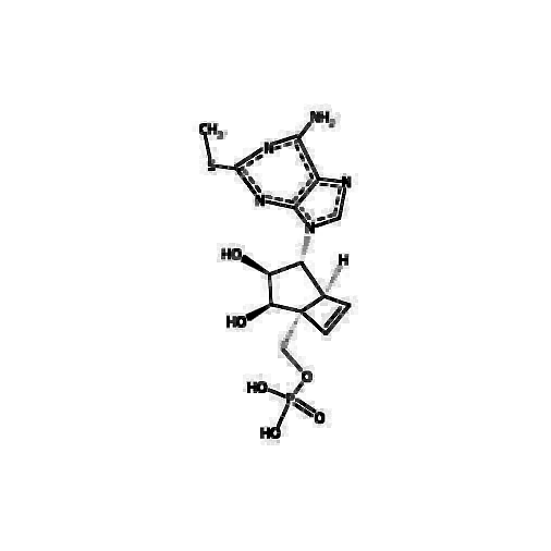 CSc1nc(N)c2ncn([C@H]3[C@H](O)[C@H](O)[C@]4(COP(=O)(O)O)C=C[C@H]34)c2n1